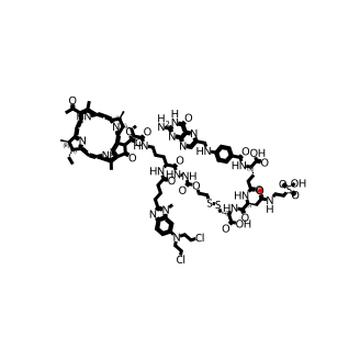 CC[C@H]1c2cc3[nH]c4c(c3C)C(=O)C(C(=O)OC)c4c3nc(cc4[nH]c(cc(n2)[C@@H]1C)c(C(C)=O)c4C)[C@@H](C)[C@@H]3CCC(=O)NCCCC(NC(=O)CCCc1nc2ccc(N(CCCl)CCCl)cc2n1C)C(=O)NNC(=O)OCCSSC[C@H](NC(=O)[C@H](CC(=O)NCCS(=O)(=O)O)NC(=O)CC[C@H](NC(=O)c1ccc(NCc2cnc3nc(N)[nH]c(=O)c3n2)cc1)C(=O)O)C(=O)O